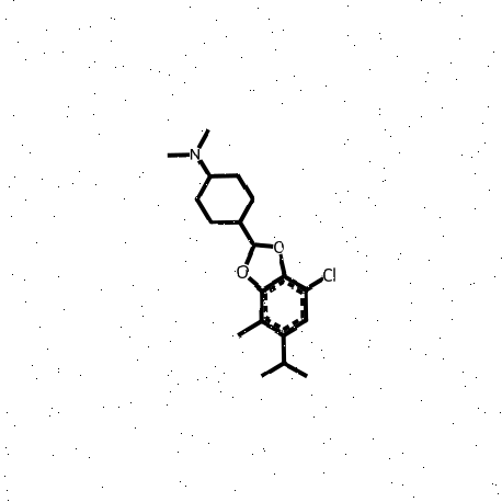 Cc1c(C(C)C)cc(Cl)c2c1OC(C1CCC(N(C)C)CC1)O2